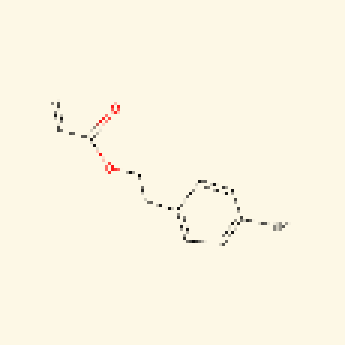 C=CC(=O)OCCc1ccc(CCC)cc1